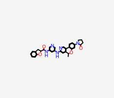 CC1Oc2cc(N3CCCC3=O)ccc2-c2cnc(Nc3cncc(NC(=O)C4Cc5ccccc5O4)c3)cc21